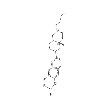 CCCC[C@@H]1CC[C@@H]2CC(c3ccc4cc(OC(F)F)c(F)cc4c3)CCC2C1